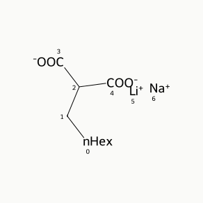 CCCCCCCC(C(=O)[O-])C(=O)[O-].[Li+].[Na+]